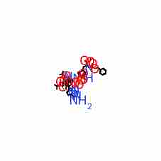 COC(=O)C(C)NP(=O)(OC[C@@]1(C#N)O[C@@H](c2ccc3c(N)ncnn23)[C@H](OC(=O)C(C)C)[C@@H]1OC(=O)C(C)C)Oc1ccc(CC(NC(=O)OCc2ccccc2)C(=O)OC)cc1